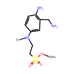 CCN(CCS(=O)(=O)ONC)c1ccc(N)c(CN)c1